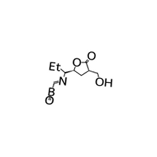 CCC(/N=C/B=O)[C@@H]1CC(CO)C(=O)O1